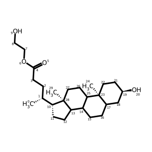 C[C@H](CCC(=O)OCCO)[C@H]1CCC2C3CCC4C[C@H](O)CC[C@]4(C)C3CC[C@@]21C